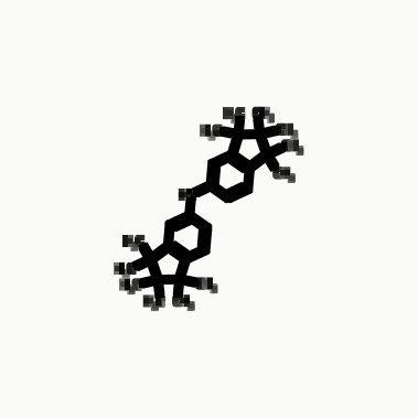 CC1(C)c2ccc(Nc3ccc4c(c3)C(C)(C)C(C)(C)C4(C)C)cc2C(C)(C)C1(C)C